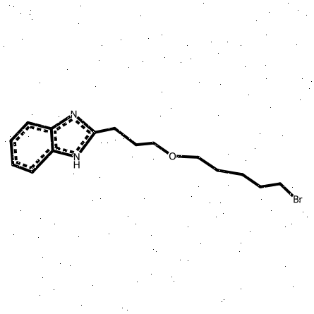 BrCCCCCOCCCc1nc2ccccc2[nH]1